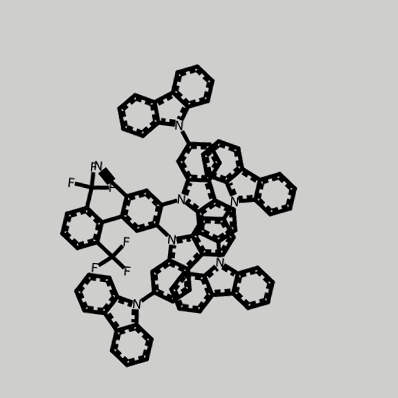 N#Cc1cc(-n2c3cc(-n4c5ccccc5c5ccccc54)ccc3c3ccc(-n4c5ccccc5c5ccccc54)cc32)c(-n2c3cc(-n4c5ccccc5c5ccccc54)ccc3c3ccc(-n4c5ccccc5c5ccccc54)cc32)cc1-c1c(C(F)(F)F)cccc1C(F)(F)F